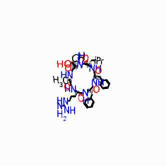 CC(C)C[C@@H]1NC(=O)[C@@H](Cc2ccccc2)NC(=O)[C@H](Cc2ccccc2)NC(=O)[C@@H](CCCNC(=N)N)NC(=O)[C@H](C)NC(=O)[C@@H]([C@@H](C)O)NC1=O